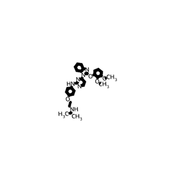 COc1cccc(Oc2nc3ccccc3n2-c2ccnc(Nc3ccc(OCCNC(C)C)cc3)n2)c1OC